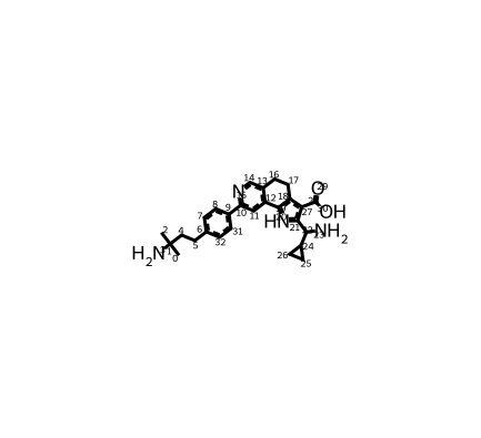 CC(C)(N)CCc1ccc(-c2cc3c(cn2)CCc2c-3[nH]c(C(N)C3CC3)c2C(=O)O)cc1